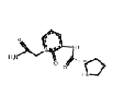 NC(=O)Cn1cccc(NC(=O)[C@@H]2CCCN2)c1=O